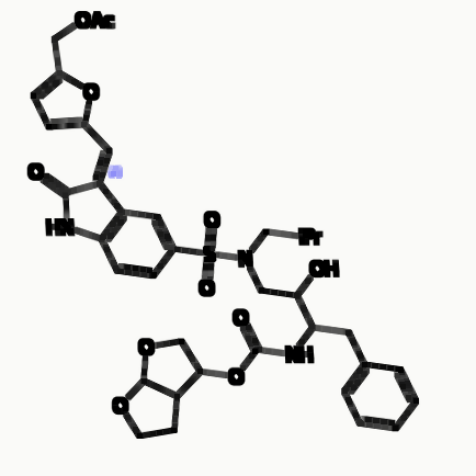 CC(=O)OCc1ccc(/C=C2\C(=O)Nc3ccc(S(=O)(=O)N(CC(C)C)CC(O)C(Cc4ccccc4)NC(=O)OC4COC5OCCC45)cc32)o1